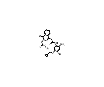 CC(C)(C)OC(=O)Cn1nc(CC(=O)Nc2cc(OCC3CC3)c(C#N)cc2N)c2ccccc2c1=O